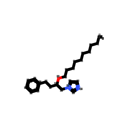 CCCCCCCCCCOC(CCc1ccccc1)Cn1ccnc1